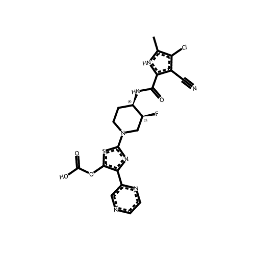 Cc1[nH]c(C(=O)N[C@@H]2CCN(c3nc(-c4cnccn4)c(OC(=O)O)s3)C[C@@H]2F)c(C#N)c1Cl